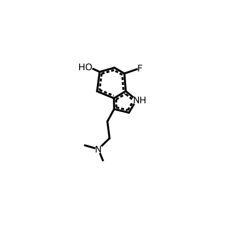 CN(C)CCc1c[nH]c2c(F)cc(O)cc12